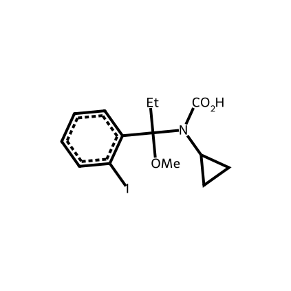 CCC(OC)(c1ccccc1I)N(C(=O)O)C1CC1